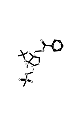 CC1(C)O[C@@H]2[C@@H](CNS(C)(=O)=O)OC[C@]2(CNC(=O)c2ccccc2)O1